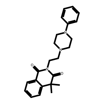 CC1(C)C(=O)N(CCN2CCN(c3ccccc3)CC2)C(=O)c2ccccc21